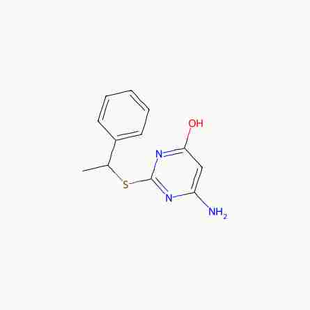 CC(Sc1nc(N)cc(O)n1)c1ccccc1